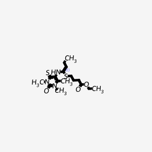 CC/C=C(\Nc1c(C)n(C)c(=O)n(C)c1=S)SCCCC(=O)OCC